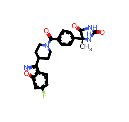 C[C@]1(c2ccc(C(=O)N3CCC(c4noc5cc(F)ccc45)CC3)cc2)NC(=O)NC1=O